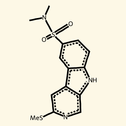 CSc1cc2c(cn1)[nH]c1ccc(S(=O)(=O)N(C)C)cc12